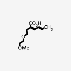 CC=CC=C(CCOCCOC)C(=O)O